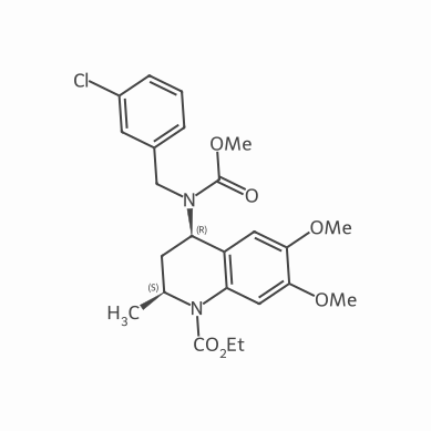 CCOC(=O)N1c2cc(OC)c(OC)cc2[C@H](N(Cc2cccc(Cl)c2)C(=O)OC)C[C@@H]1C